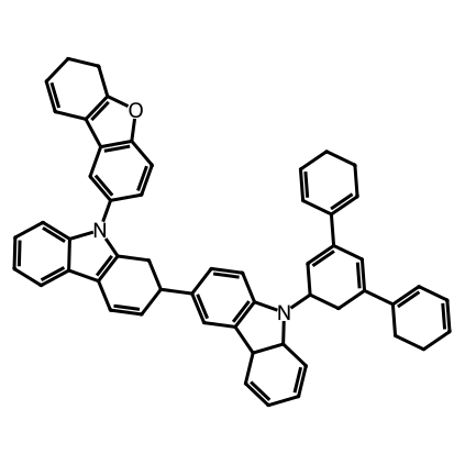 C1=CCCC(C2=CC(C3=CCCC=C3)=CC(N3c4ccc(C5C=Cc6c(n(-c7ccc8oc9c(c8c7)C=CCC9)c7ccccc67)C5)cc4C4C=CC=CC43)C2)=C1